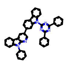 c1ccc(-c2nc(-c3ccccc3)nc(-n3c4ccccc4c4ccc(-c5cnc6c(c5)c5ccccc5n6-c5ccccc5)cc43)n2)cc1